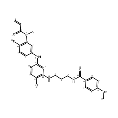 C=CC(=O)N(C)c1cc(Nc2ncc(Cl)c(NCCCNC(=O)c3ccc(OC)cc3)n2)ccc1F